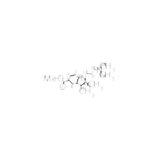 COC(=O)c1ccc2c(c1)c(C)c(C)n2CCCN(C)C